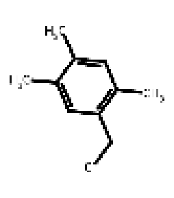 Cc1cc(C)c(CCl)cc1C